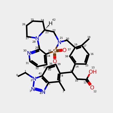 CCn1nnc2c(C)c(C(CC(=O)O)c3ccc(C)c(CN4C[C@@H]5CCCCN5c5ncccc5S4(=O)=O)c3)ccc21